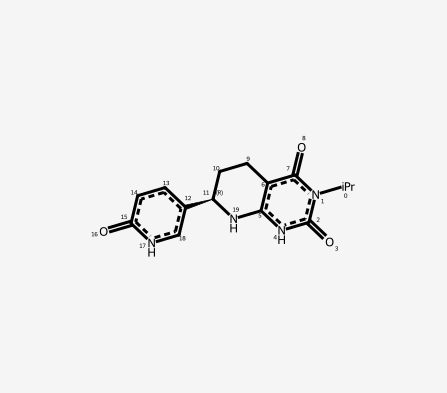 CC(C)n1c(=O)[nH]c2c(c1=O)CC[C@H](c1ccc(=O)[nH]c1)N2